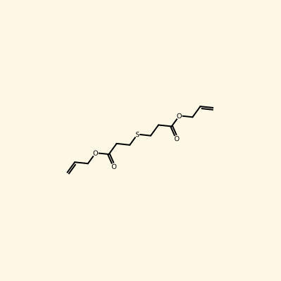 C=CCOC(=O)CCSCCC(=O)OCC=C